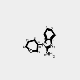 Nc1nc2ccccc2n1[C@@H]1CCCOC1